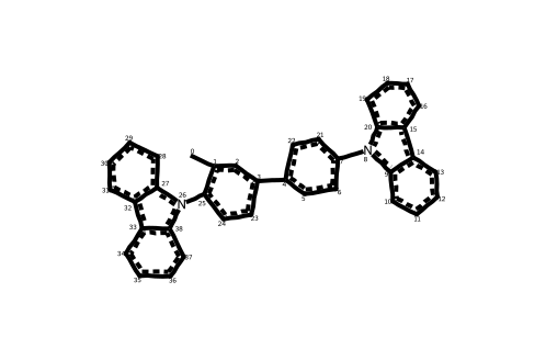 Cc1cc(-c2ccc(-n3c4ccccc4c4ccccc43)cc2)ccc1-n1c2ccccc2c2ccccc21